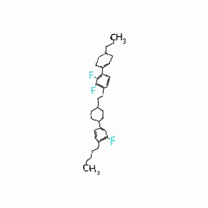 CCCCCc1ccc(C2CCC(CCc3ccc(C4=CCC(CCC)CC4)c(F)c3F)CC2)cc1F